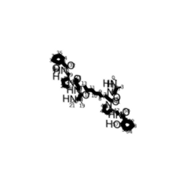 CN[C@@H](C)C(=O)N[C@@H](CCCCCC[C@H](NC(=O)[C@H](C)NC)C(=O)N1CCC[C@H]1CNC(=O)c1ccccc1O)C(=O)N1CCC[C@H]1CNC(=O)c1ccccc1O